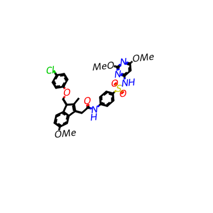 COc1ccc2c(c1)C(CC(=O)Nc1ccc(S(=O)(=O)Nc3cc(OC)nc(OC)n3)cc1)=C(C)C2COc1ccc(Cl)cc1